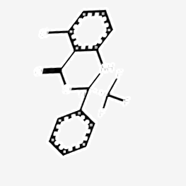 O=C1O[C@@](c2ccccc2)(C(F)(F)F)Nc2cccc(Cl)c21